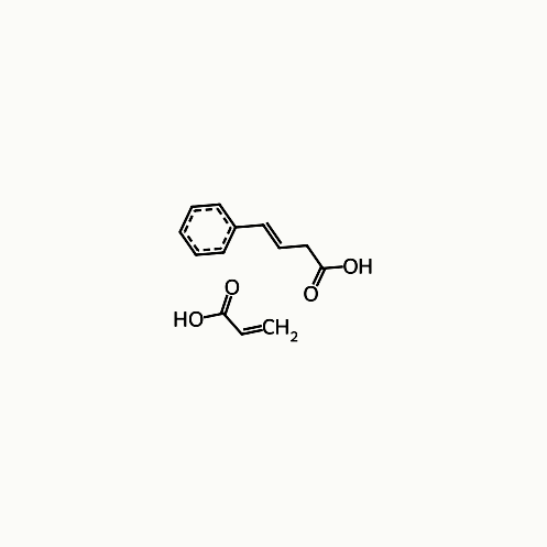 C=CC(=O)O.O=C(O)CC=Cc1ccccc1